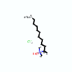 CCCCCCCCCCCCCCCCCCC(C)[N+](C)(C)O.[Cl-]